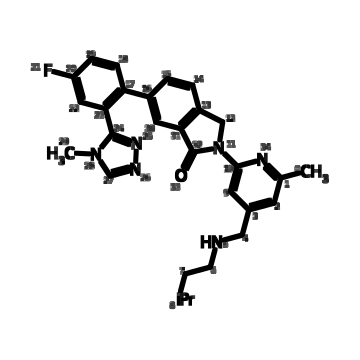 Cc1cc(CNCCC(C)C)cc(N2Cc3ccc(-c4ccc(F)cc4-c4nncn4C)cc3C2=O)n1